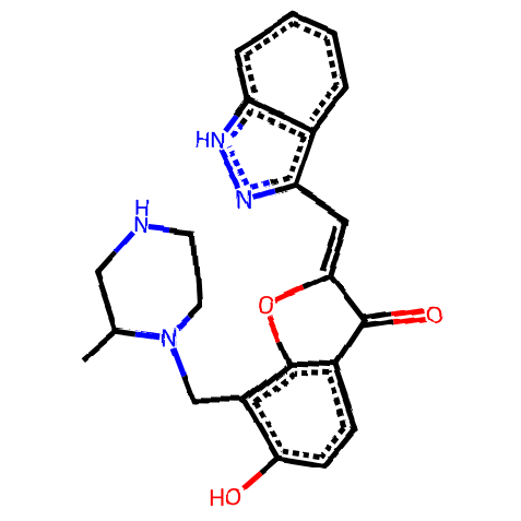 CC1CNCCN1Cc1c(O)ccc2c1O/C(=C\c1n[nH]c3ccccc13)C2=O